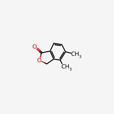 Cc1ccc2c(c1C)COC2=O